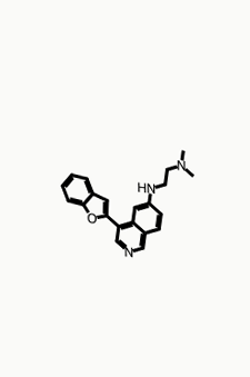 CN(C)CCNc1ccc2cncc(-c3cc4ccccc4o3)c2c1